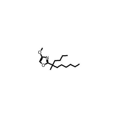 CCCCCCC(C)(CCCC)c1nc(OC)co1